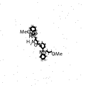 COCCCn1c([C@@H]2CCCN(C(=O)C[C@@H](N)CNS(=O)(=O)c3ccccc3OC)C2)nc2ccccc21